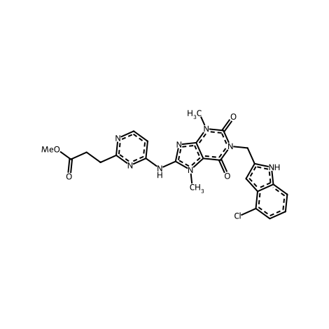 COC(=O)CCc1nccc(Nc2nc3c(c(=O)n(Cc4cc5c(Cl)cccc5[nH]4)c(=O)n3C)n2C)n1